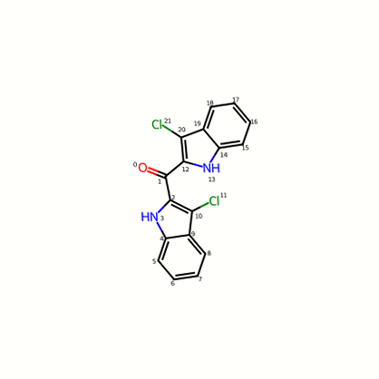 O=C(c1[nH]c2ccccc2c1Cl)c1[nH]c2ccccc2c1Cl